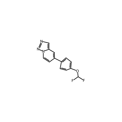 FC(F)Oc1ccc(-c2ccn3nncc3c2)cc1